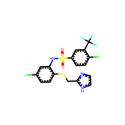 O=S(=O)(Nc1cc(Cl)ccc1SCc1ncc[nH]1)c1ccc(Cl)c(C(F)(F)F)c1